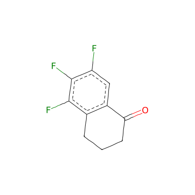 O=C1CCCc2c1cc(F)c(F)c2F